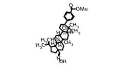 C=C(C)C1CCC2(/C=N/O)CC[C@]3(N)[C@H](CC[C@@H]4[C@@]5(C)CC=C(c6ccc(C(=O)OC)cc6)C(C)(C)[C@@H]5CC[C@]43C)[C@@H]12